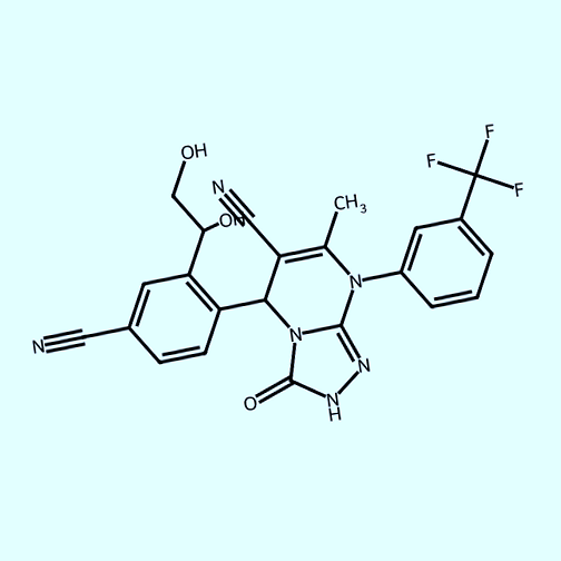 CC1=C(C#N)C(c2ccc(C#N)cc2C(O)CO)n2c(n[nH]c2=O)N1c1cccc(C(F)(F)F)c1